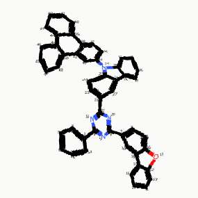 c1ccc(-c2nc(-c3ccc4oc5ccccc5c4c3)nc(-c3ccc4c(c3)c3ccccc3n4-c3ccc4c5ccccc5c5ccccc5c4c3)n2)cc1